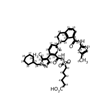 Cc1cnc(NC(=O)c2cccc3c2CN(c2ccc(-c4cnn(CC5CCCCC5)c4C)c(C(=O)NS(=O)(=O)CCCCCC(=O)O)n2)CC3)s1